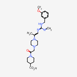 C=N/C(=N\C=C(/C)N1CCN(CC(=O)N2CCC(C(=O)O)CC2)CC1)NCc1cccc(OC(F)(F)F)c1